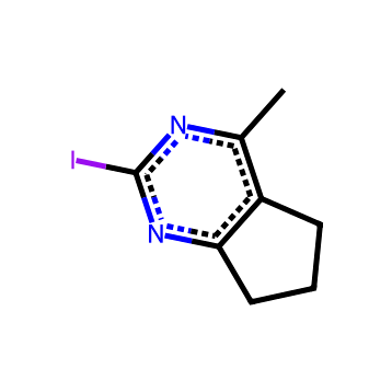 Cc1nc(I)nc2c1CCC2